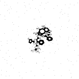 CC(=O)O[C@]12COC1CC(O)C13OC1C(O)C1C(C)[C@H](OC(=O)[C@@H](OC(=O)C4CCC(=O)C4)C(NC(=O)OC(C)(C)C)c4ccccc4)CC(O)([C@H](OC(O)c4ccccc4)[C@H]32)C1(C)C